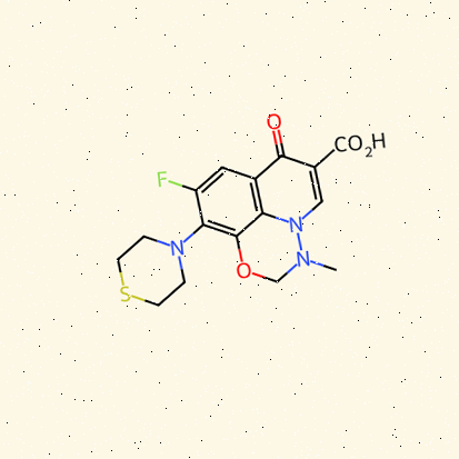 CN1COc2c(N3CCSCC3)c(F)cc3c(=O)c(C(=O)O)cn1c23